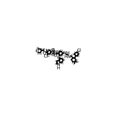 CC1(C)CCC(CNCCNc2ccc(C(=O)NS(=O)(=O)c3cnc(OCC4CCOCC4)c(Cl)c3)c(Oc3cccc4[nH]ccc34)c2)=C(c2ccc(Cl)cc2)C1